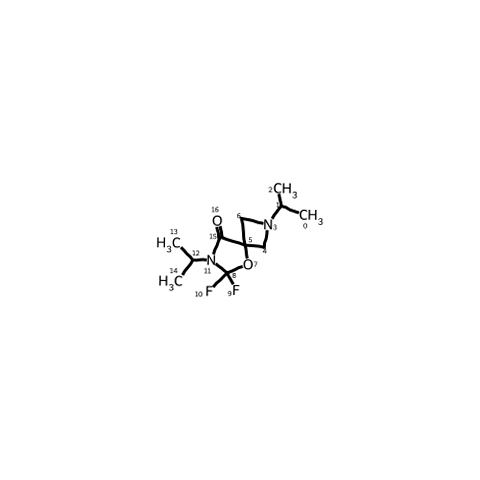 CC(C)N1CC2(C1)OC(F)(F)N(C(C)C)C2=O